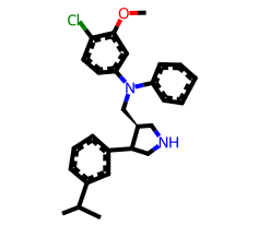 COc1cc(N(C[C@H]2CNCC2c2cccc(C(C)C)c2)c2ccccc2)ccc1Cl